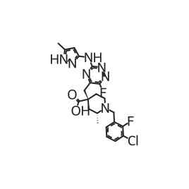 Cc1cc(Nc2nnc(F)c(C[C@@]3(C(=O)O)CCN(Cc4cccc(Cl)c4F)[C@H](C)C3)n2)n[nH]1